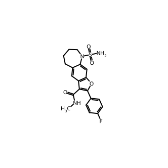 CNC(=O)c1c(-c2ccc(F)cc2)oc2cc3c(cc12)CCCCN3S(N)(=O)=O